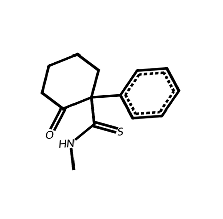 CNC(=S)C1(c2ccccc2)CCCCC1=O